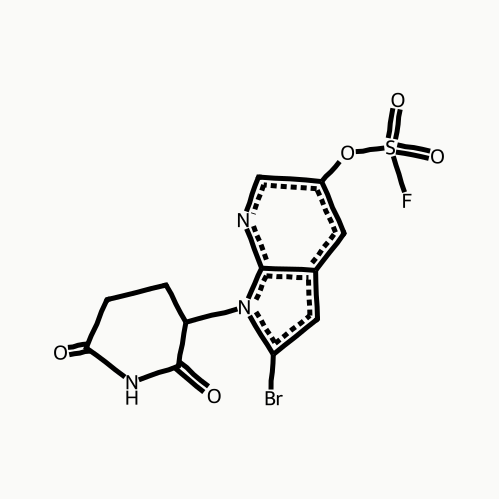 O=C1CCC(n2c(Br)cc3cc(OS(=O)(=O)F)cnc32)C(=O)N1